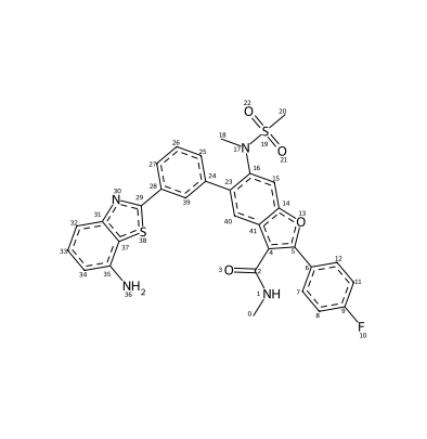 CNC(=O)c1c(-c2ccc(F)cc2)oc2cc(N(C)S(C)(=O)=O)c(-c3cccc(-c4nc5cccc(N)c5s4)c3)cc12